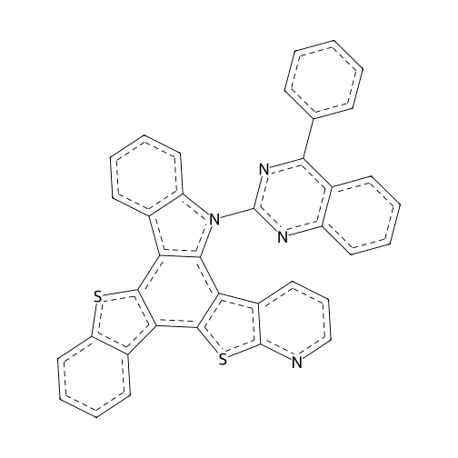 c1ccc(-c2nc(-n3c4ccccc4c4c5sc6ccccc6c5c5sc6ncccc6c5c43)nc3ccccc23)cc1